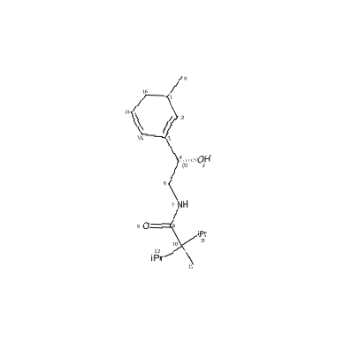 CC1C=C([C@H](O)CNC(=O)C(C)(C(C)C)C(C)C)C=CC1